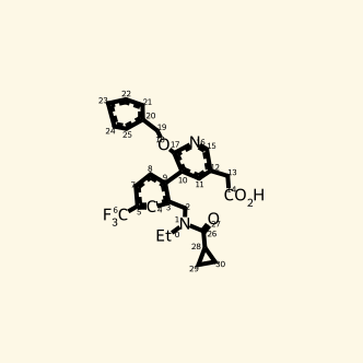 CCN(Cc1cc(C(F)(F)F)ccc1-c1cc(CC(=O)O)cnc1OCc1ccccc1)C(=O)C1CC1